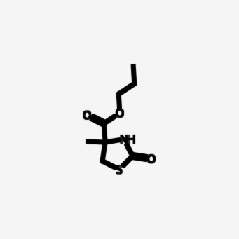 CCCOC(=O)C1(C)CSC(=O)N1